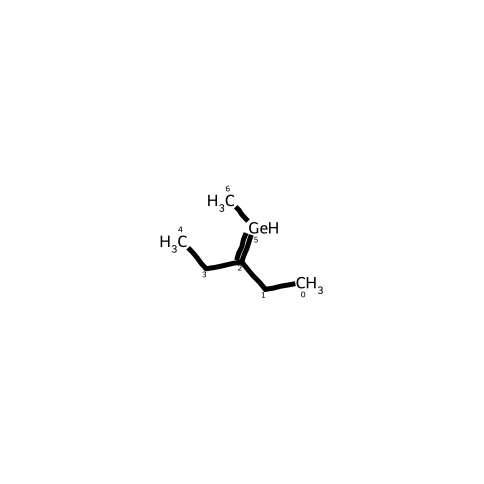 CC[C](CC)=[GeH][CH3]